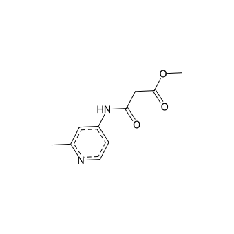 COC(=O)CC(=O)Nc1ccnc(C)c1